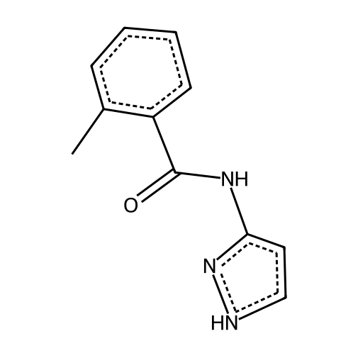 Cc1ccccc1C(=O)Nc1cc[nH]n1